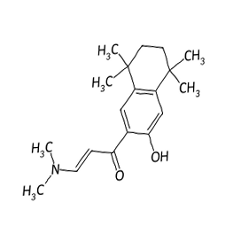 CN(C)C=CC(=O)c1cc2c(cc1O)C(C)(C)CCC2(C)C